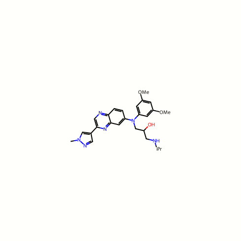 COc1cc(OC)cc(N(CC(O)CNC(C)C)c2ccc3ncc(-c4cnn(C)c4)nc3c2)c1